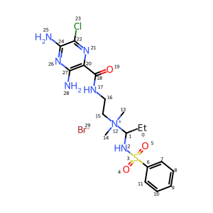 CCC(NS(=O)(=O)c1ccccc1)[N+](C)(C)CCNC(=O)c1nc(Cl)c(N)nc1N.[Br-]